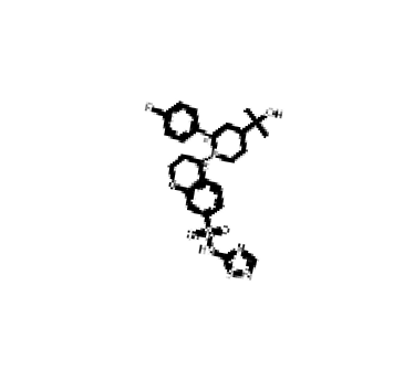 CC(C)(O)C1CCN([C@@H]2CCOc3cc(S(=O)(=O)Nc4ncns4)ccc32)[C@@H](c2ccc(F)cc2)C1